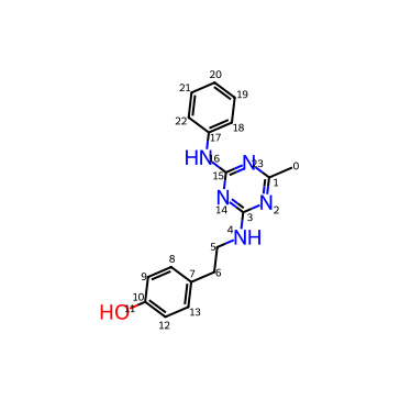 Cc1nc(NCCc2ccc(O)cc2)nc(Nc2ccccc2)n1